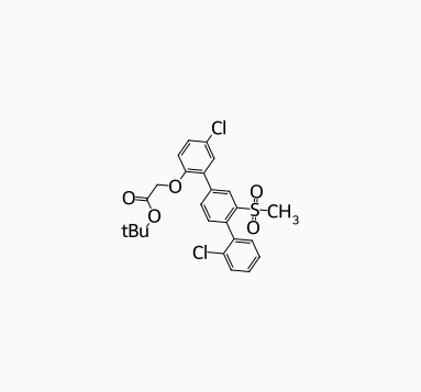 CC(C)(C)OC(=O)COc1ccc(Cl)cc1-c1ccc(-c2ccccc2Cl)c(S(C)(=O)=O)c1